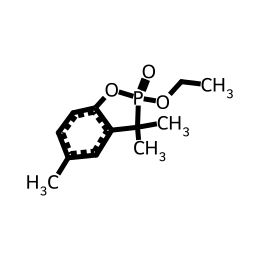 CCOP1(=O)Oc2ccc(C)cc2C1(C)C